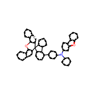 c1ccc(N(c2ccc(-c3cccc4c3-c3ccccc3C43c4ccc5ccccc5c4Oc4c3ccc3ccccc43)cc2)c2ccc3c(c2)oc2ccccc23)cc1